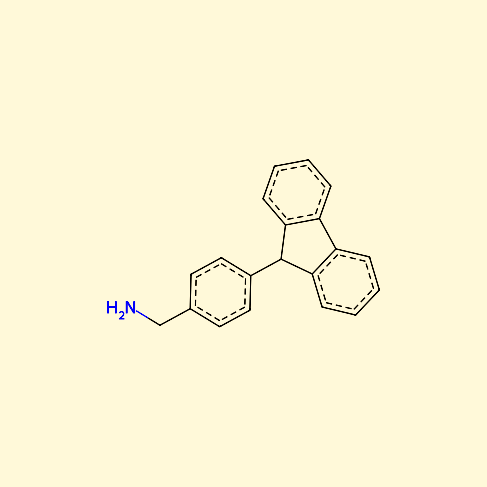 NCc1ccc(C2c3ccccc3-c3ccccc32)cc1